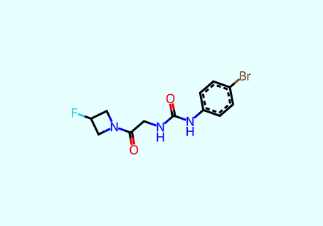 O=C(NCC(=O)N1CC(F)C1)Nc1ccc(Br)cc1